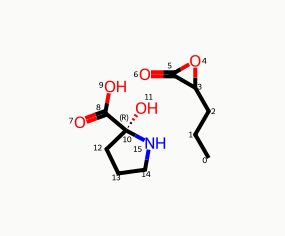 CCCC1OC1=O.O=C(O)[C@]1(O)CCCN1